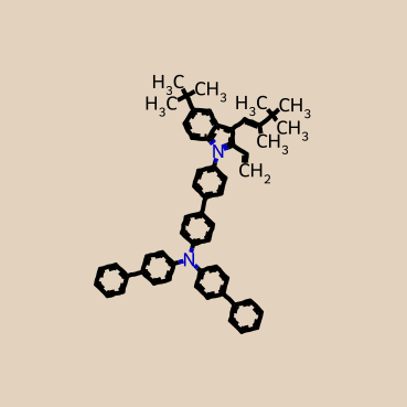 C=Cc1c(/C=C(\C)C(C)(C)C)c2cc(C(C)(C)C)ccc2n1-c1ccc(-c2ccc(N(c3ccc(-c4ccccc4)cc3)c3ccc(-c4ccccc4)cc3)cc2)cc1